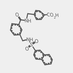 O=C(O)c1ccc(CNC(=O)c2cccc(CNS(=O)(=O)c3ccc4ccccc4c3)c2)cc1